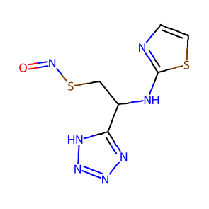 O=NSCC(Nc1nccs1)c1nnn[nH]1